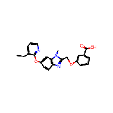 CCc1cccnc1Oc1ccc2nc(COc3cccc(C(=O)O)c3)n(C)c2c1